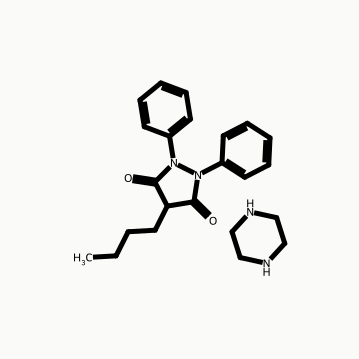 C1CNCCN1.CCCCC1C(=O)N(c2ccccc2)N(c2ccccc2)C1=O